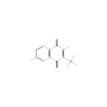 Cc1ccc2c(c1)C(=O)C(C(C)(C)C)=C(O)C2=O